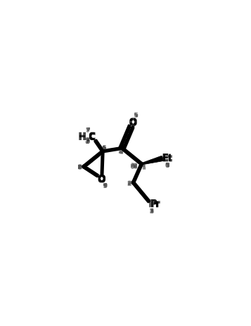 CC[C@@H](CC(C)C)C(=O)C1(C)CO1